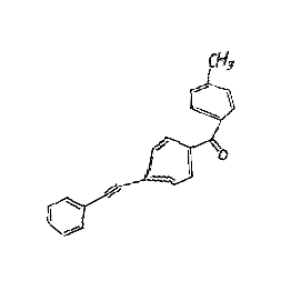 Cc1ccc(C(=O)c2ccc(C#Cc3ccccc3)cc2)cc1